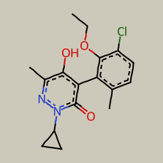 CCOc1c(Cl)ccc(C)c1-c1c(O)c(C)nn(C2CC2)c1=O